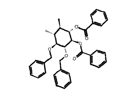 C[C@@H]1[C@@H](C)[C@H](OC(=O)c2ccccc2)[C@@H](OC(=O)c2ccccc2)[C@H](OCc2ccccc2)[C@H]1OCc1ccccc1